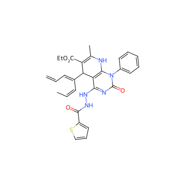 C=C/C=C(\C=C/C)C1C(C(=O)OCC)=C(C)Nc2c1c(NNC(=O)c1cccs1)nc(=O)n2-c1ccccc1